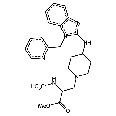 COC(=O)C(CN1CCC(Nc2nc3ccccc3n2Cc2ccccn2)CC1)NC(=O)O